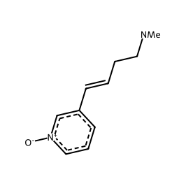 CNCC/C=C/c1ccc[n+]([O-])c1